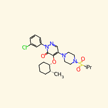 CC(C)S(=O)(=O)N1CCN(c2cnn(-c3cccc(Cl)c3)c(=O)c2O[C@H]2CCCC[C@H]2C)CC1